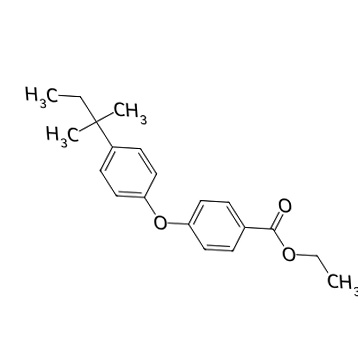 CCOC(=O)c1ccc(Oc2ccc(C(C)(C)CC)cc2)cc1